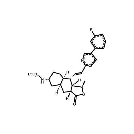 CCOC(=O)N[C@@H]1CC[C@@H]2[C@H](C1)C[C@H]1C(=O)O[C@H](C)[C@H]1[C@H]2C=Cc1ccc(-c2cccc(F)c2)cn1